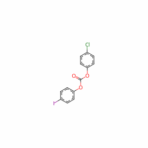 O=C(Oc1ccc(Cl)cc1)Oc1ccc(I)cc1